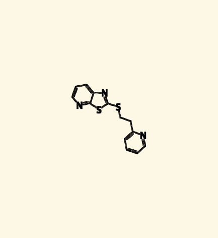 c1ccc(CCSc2nc3cccnc3s2)nc1